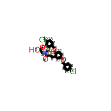 O=C(O)CN1C(=O)C(=Cc2cc(OCc3ccc(Cl)cc3)ccc2OCc2ccc(Cl)cc2)SC1=S